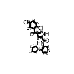 O=C(Nc1cnccc1N1CCCC1)c1cc(C(=O)c2c(Cl)ccc(Cl)c2F)c[nH]1